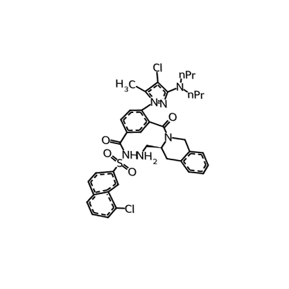 CCCN(CCC)c1nn(-c2ccc(C(=O)NS(=O)(=O)c3ccc4cccc(Cl)c4c3)cc2C(=O)N2Cc3ccccc3C[C@H]2CN)c(C)c1Cl